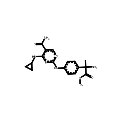 CC(C)OC(=O)C(C)(N)c1ccc(Nc2ncc(C(N)=O)c(NC3CC3)n2)cc1